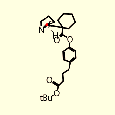 CC(C)(C)OC(=O)CCCc1ccc(OC(=O)C2([C@@H]3CN4CCC3CC4)CCCCC2)cc1